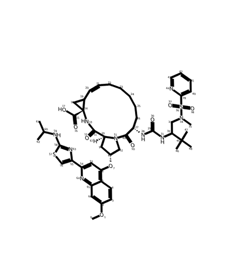 COc1ccc2c(O[C@@H]3C[C@H]4C(=O)N[C@]5(C(=O)O)CC5/C=C\CCCCC[C@H](NC(=O)NC(CN(C)S(=O)(=O)c5ccccn5)C(C)(C)C)C(=O)N4C3)cc(-c3csc(NC(C)C)n3)nc2c1